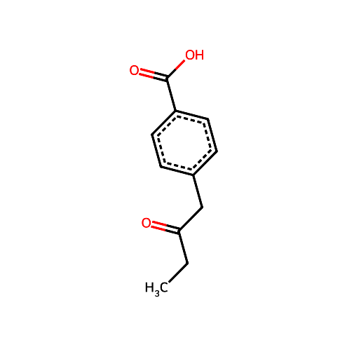 CCC(=O)Cc1ccc(C(=O)O)cc1